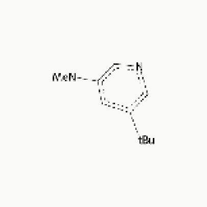 CNc1cncc(C(C)(C)C)c1